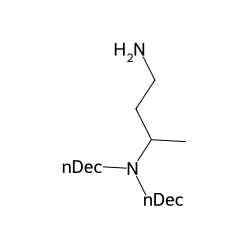 CCCCCCCCCCN(CCCCCCCCCC)C(C)CCN